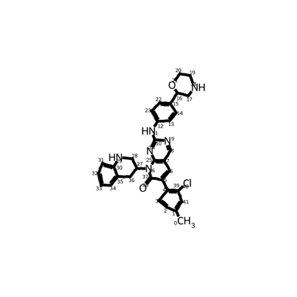 Cc1ccc(-c2cc3cnc(Nc4ccc(C5CNCCO5)cc4)nc3n(C3CNc4ccccc4C3)c2=O)c(Cl)c1